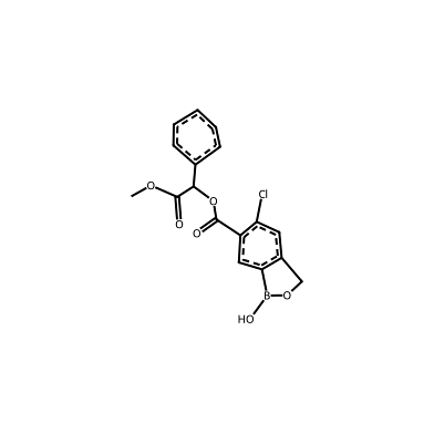 COC(=O)C(OC(=O)c1cc2c(cc1Cl)COB2O)c1ccccc1